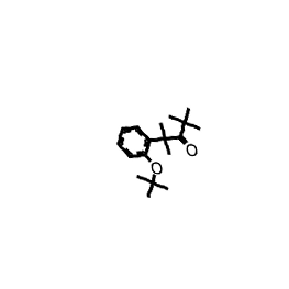 CC(C)(C)Oc1ccccc1C(C)(C)C(=O)C(C)(C)C